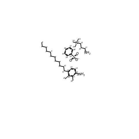 CCCCCCCCCCCCc1ccc(N)c(C)c1C.C[N+](C)(C)CCCN.O=S(=O)([O-])c1ccccc1